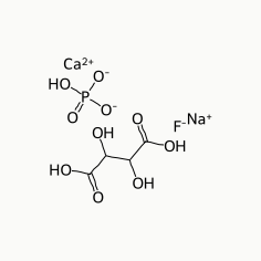 O=C(O)C(O)C(O)C(=O)O.O=P([O-])([O-])O.[Ca+2].[F-].[Na+]